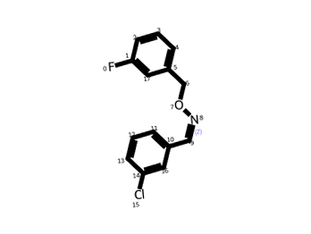 Fc1cccc(CO/N=[C]\c2cccc(Cl)c2)c1